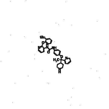 CC(C)(C)c1ccccc1Oc1ncccc1NC(=O)Nc1ccc(OC(C)(c2ccccn2)C2CCNCC2)cc1